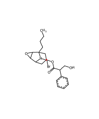 CCCCC12CC(OC(=O)C(CO)c3ccccc3)CC(C3OC31)N2CBr